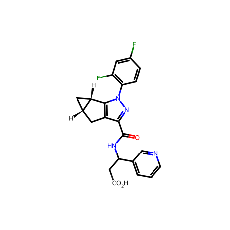 O=C(O)CC(NC(=O)c1nn(-c2ccc(F)cc2F)c2c1C[C@@H]1C[C@H]21)c1cccnc1